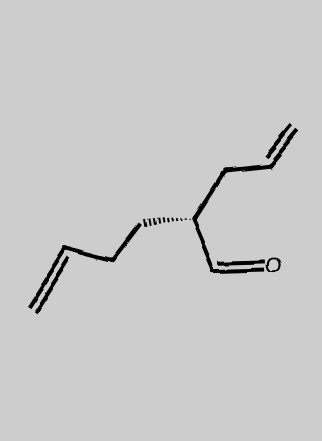 C=CCC[C@@H](C=O)CC=C